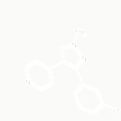 Cn1cc(-c2ccncc2)c(-c2cccc(F)c2)n1